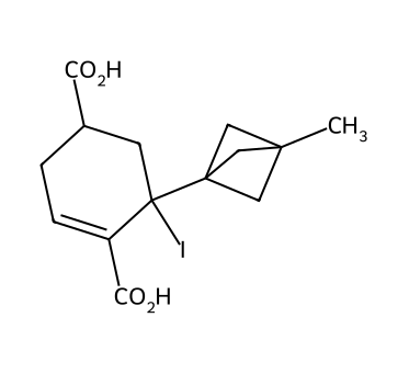 CC12CC(C3(I)CC(C(=O)O)CC=C3C(=O)O)(C1)C2